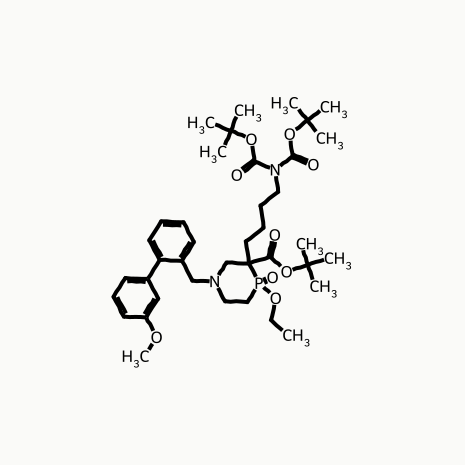 CCOP1(=O)CCN(Cc2ccccc2-c2cccc(OC)c2)CC1(CCCCN(C(=O)OC(C)(C)C)C(=O)OC(C)(C)C)C(=O)OC(C)(C)C